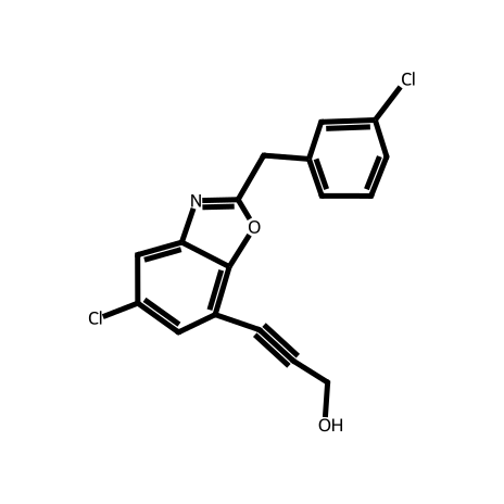 OCC#Cc1cc(Cl)cc2nc(Cc3cccc(Cl)c3)oc12